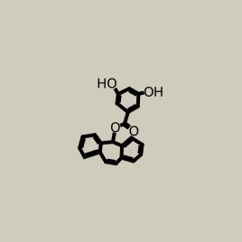 O=C(OC1c2ccccc2C=Cc2ccccc21)c1cc(O)cc(O)c1